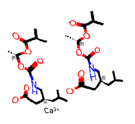 CC(C)C[C@H](CNC(=O)O[C@H](C)OC(=O)C(C)C)CC(=O)[O-].CC(C)C[C@H](CNC(=O)O[C@H](C)OC(=O)C(C)C)CC(=O)[O-].[Ca+2]